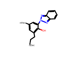 CCCCCCCCCCCCc1cc(CCCCCC)cc(-n2nc3ccccc3n2)c1O